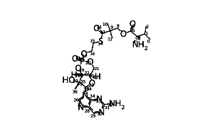 CC(C)[C@H](N)C(=O)OCC(C)(C)C(=O)SCCOP1(=O)OC[C@H]2O[C@@H](n3cnc4cnc(N)nc43)[C@](C)(O)[C@@H]2O1